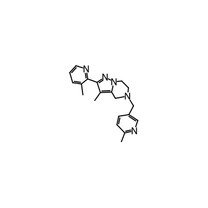 Cc1ccc(CN2CCn3nc(-c4ncccc4C)c(C)c3C2)cn1